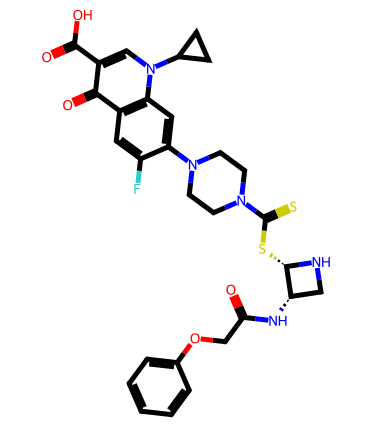 O=C(COc1ccccc1)N[C@H]1CN[C@H]1SC(=S)N1CCN(c2cc3c(cc2F)c(=O)c(C(=O)O)cn3C2CC2)CC1